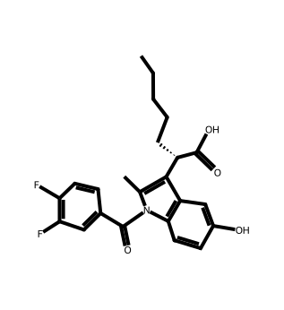 CCCCC[C@H](C(=O)O)c1c(C)n(C(=O)c2ccc(F)c(F)c2)c2ccc(O)cc12